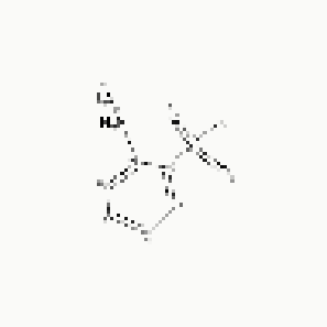 CS(=O)(=O)c1ccccc1N.S